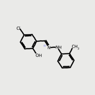 Cc1ccccc1N/N=C/c1cc(Cl)ccc1O